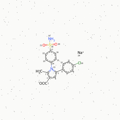 Cc1c(C(=O)[O-])cc(-c2ccc(Cl)cc2)n1-c1ccc(S(N)(=O)=O)cc1.[Na+]